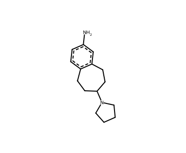 Nc1ccc2c(c1)CCC(N1CCCC1)CC2